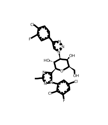 Cc1nc([C@@H]2O[C@H](CO)[C@H](O)[C@H](n3cc(-c4ccc(Cl)c(F)c4)nn3)[C@H]2O)n(-c2cc(Cl)cc(F)c2Cl)n1